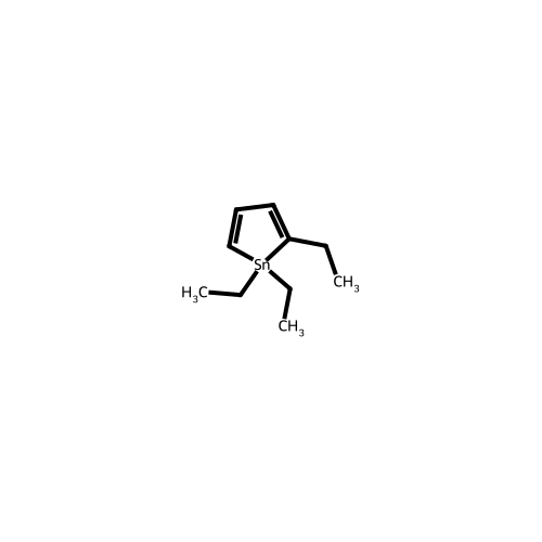 CC[C]1=CC=[CH][Sn]1([CH2]C)[CH2]C